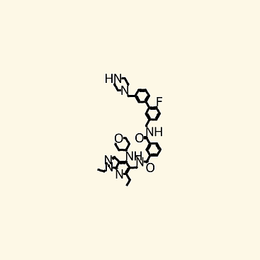 CCc1nc2c(cnn2CC)c(NC2CCOCC2)c1CN(C)C(=O)c1cccc(C(=O)NCc2ccc(F)c(-c3cccc(CN4CCNCC4)c3)c2)c1